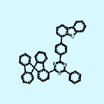 c1ccc(-c2nc(-c3ccc(-c4cccc5c4oc4ccccc45)cc3)nc(-c3cccc4c3-c3ccccc3C43c4ccccc4-c4ccccc43)n2)cc1